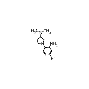 CN(C)C1CCN(c2ccc(Br)cc2N)C1